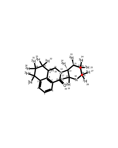 [2H]C1([2H])c2cccc3c2[C@@]([2H])(CN([C@]2([2H])C([2H])([2H])N4CC[C@]2([2H])C([2H])([2H])C4([2H])[2H])C3=O)C([2H])([2H])C1([2H])[2H]